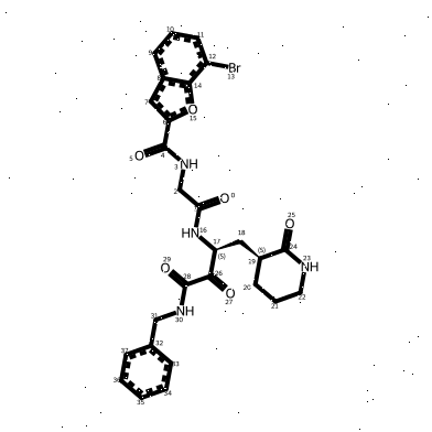 O=C(CNC(=O)c1cc2cccc(Br)c2o1)N[C@@H](C[C@@H]1CCCNC1=O)C(=O)C(=O)NCc1ccccc1